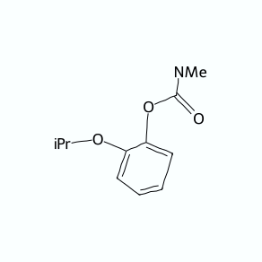 CNC(=O)Oc1ccccc1OC(C)C